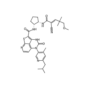 COCC(C)(C)/C=C(\C#N)C(=O)N[C@H]1CCC[C@H]1NC(=O)c1sc2nccc3c2c1NC(=O)N3c1cnc(CC(C)C)cc1C